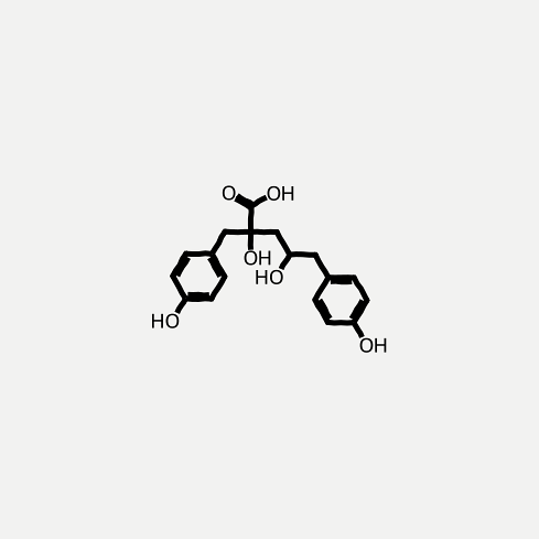 O=C(O)C(O)(Cc1ccc(O)cc1)CC(O)Cc1ccc(O)cc1